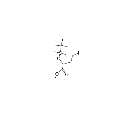 COC(=O)C(CCI)O[Si](C)(C)C(C)(C)C